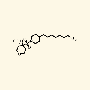 O=C(O)C1(S(=O)(=O)N2CCC(CCCCCCCC(F)(F)F)CC2)CCOCC1